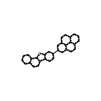 c1ccc2c(c1)ccc1c3ccc(-c4cc5ccc6cccc7ccc(c4)c5c67)cc3oc21